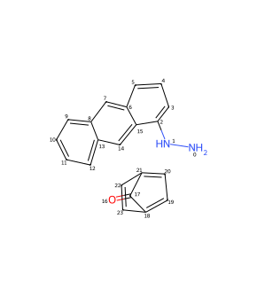 NNc1cccc2cc3ccccc3cc12.O=C1C2=CC=C1C=C2